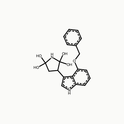 OC1(O)CC(c2c[nH]c3cccc(OCc4ccccc4)c23)C(O)(O)N1